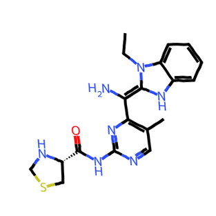 CCN1/C(=C(\N)c2nc(NC(=O)[C@@H]3CSCN3)ncc2C)Nc2ccccc21